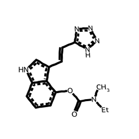 CCN(C)C(=O)Oc1cccc2[nH]cc(C=Cc3nnn[nH]3)c12